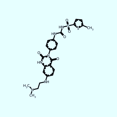 Cc1ccc(S(=O)(=O)NC(=O)Nc2ccc(-n3c(=O)[nH]c4cc(NCCN(C)C)ccc4c3=O)cc2)s1